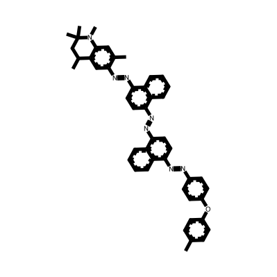 Cc1ccc(Oc2ccc(N=Nc3ccc(N=Nc4ccc(N=Nc5cc6c(cc5C)N(C)C(C)(C)CC6C)c5ccccc45)c4ccccc34)cc2)cc1